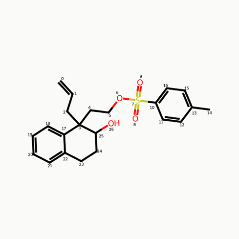 C=CCC1(CCOS(=O)(=O)c2ccc(C)cc2)c2ccccc2CCC1O